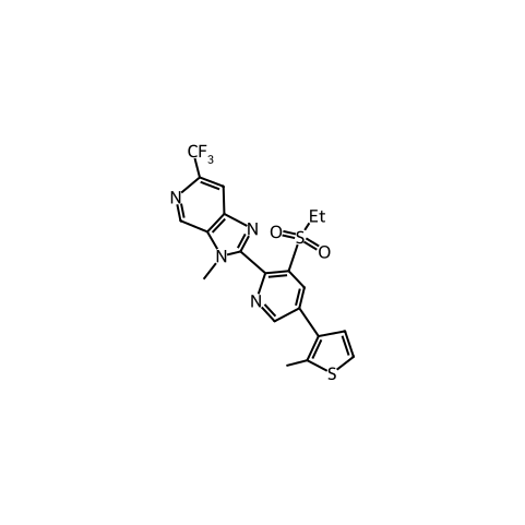 CCS(=O)(=O)c1cc(-c2ccsc2C)cnc1-c1nc2cc(C(F)(F)F)ncc2n1C